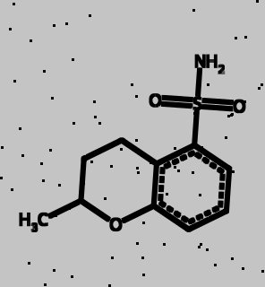 CC1CCc2c(cccc2S(N)(=O)=O)O1